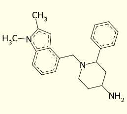 Cc1cc2c(CN3CCC(N)CC3c3ccccc3)cccc2n1C